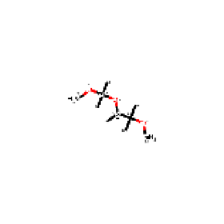 C[SiH](O[Si](C)(C)O[SiH3])C(C)(C)O[SiH3]